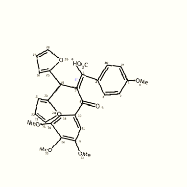 COc1ccc(/C(C(=O)O)=C(\C(=O)c2cc(OC)c(OC)c(OC)c2)C(c2ccco2)c2ccco2)cc1